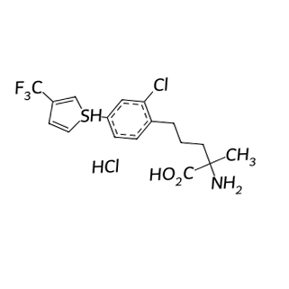 CC(N)(CCCc1ccc([SH]2C=CC(C(F)(F)F)=C2)cc1Cl)C(=O)O.Cl